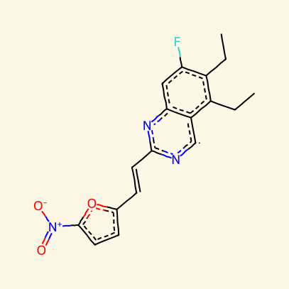 CCc1c(F)cc2nc(/C=C/c3ccc([N+](=O)[O-])o3)n[c]c2c1CC